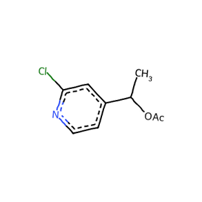 CC(=O)OC(C)c1ccnc(Cl)c1